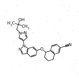 CC(C)(O)Cn1cc(-n2ncc3ccc(OC4CCCc5cc(C#N)ccc54)cc32)cn1